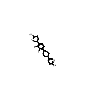 CCCc1ccc(C2CCC(c3ccc(C4CCC(CCC)OC4)c(F)c3F)CC2)cn1